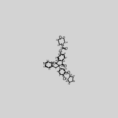 COc1ccc(C2(Cc3ccncc3)C(=O)c3ccc(OC(=O)N4CCOCC4)cc3C2=O)cc1OC1CCCC1